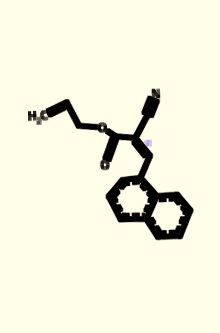 C=CCOC(=O)/C(C#N)=C\c1cccc2ccccc12